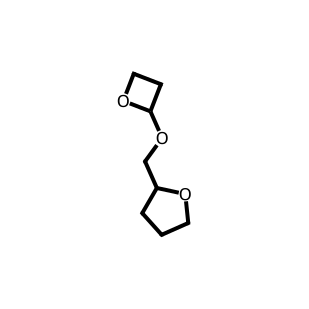 C1COC(COC2CCO2)C1